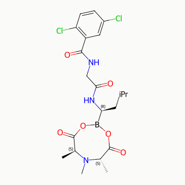 CC(C)C[C@H](NC(=O)CNC(=O)c1cc(Cl)ccc1Cl)B1OC(=O)[C@H](C)N(C)[C@@H](C)C(=O)O1